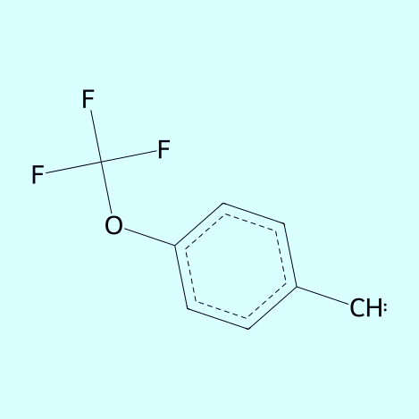 [CH]c1ccc(OC(F)(F)F)cc1